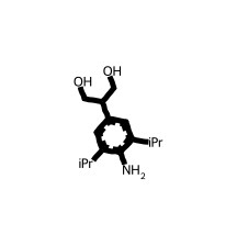 CC(C)c1cc(C(CO)CO)cc(C(C)C)c1N